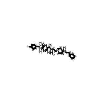 Nc1nc(NCc2ccc(I)cc2)c(Cl)nc1C(=O)NCCN1CCC(NCCc2ccccc2)CC1